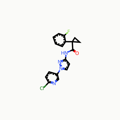 O=C(Nc1ccn(-c2ccc(Cl)nc2)n1)C1(c2ccccc2F)CC1